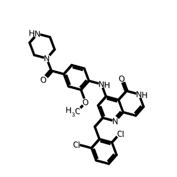 COc1cc(C(=O)N2CCNCC2)ccc1Nc1cc(Cc2c(Cl)cccc2Cl)nc2cc[nH]c(=O)c12